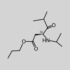 CCCOC(=O)C[C@H](NC(C)C)C(=O)C(C)C